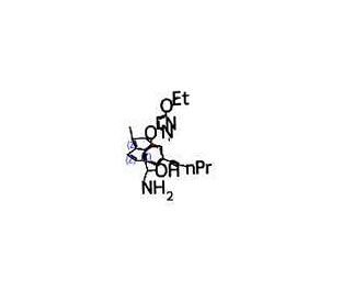 CCCC#Cc1ccc(C2=C(/C)CC/C=C(C(O)CN)/C=C\2)c(Oc2cc(OCC)nn2C)c1